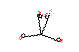 CCCC(CCCCCCCCCC(CCCCCCCCCC1CCC2OC2C1)(CCCCCCCCCC1CCC2OC2C1)CCCCCCCCCC1CCC[C@@H](O)C1)CC(C)O